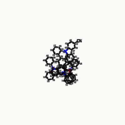 N#Cc1ccc2c(c1)c1ccccc1n2-c1ccccc1-c1c(C#N)c(-c2ccccc2-n2c3ccccc3c3cc(C#N)ccc32)c(-c2ccccc2-n2c3ccccc3c3cc(C#N)ccc32)c(-c2ccccc2-n2c3ccccc3c3cc(C#N)ccc32)c1-c1nc2ccccc2o1